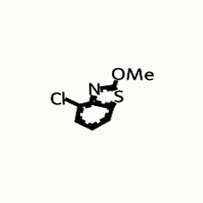 COc1nc2c(Cl)cccc2s1